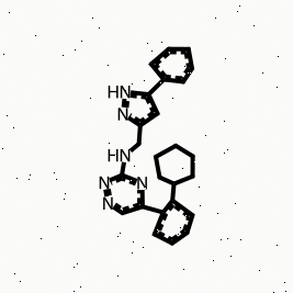 c1ccc(-c2cc(CNc3nncc(-c4ccccc4C4CCCCC4)n3)n[nH]2)cc1